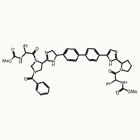 COC(=O)NC(C(=O)N1CN(C(=O)c2ccccc2)CC1C1=NCC(c2ccc(-c3ccc(-c4cnc(C5CCCN5C(=O)C(NC(=O)OC)C(C)C)[nH]4)cc3)cc2)N1)C(C)C